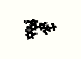 COC1(c2cc(-c3cn(-c4c(F)cccc4F)c(=O)c4c(N)n[nH]c34)nn2C)CN(S(C)(=O)=O)C1